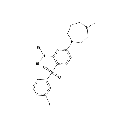 CCN(CC)c1cc(N2CCCN(C)CC2)ccc1S(=O)(=O)c1cccc(F)c1